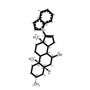 C[C@@H]1CC[C@]2(C)C3CC[C@]4(C)C(n5ccc6ccccc65)=CCC4C3C(O)C[C@@H]2C1